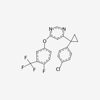 Fc1ccc(Oc2cc(C3(c4ccc(Cl)cc4)CC3)ncn2)cc1C(F)(F)F